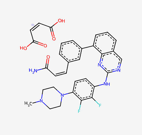 CN1CCN(c2ccc(Nc3ncc4cccc(-c5cccc(C=CC(N)=O)c5)c4n3)c(F)c2F)CC1.O=C(O)/C=C\C(=O)O